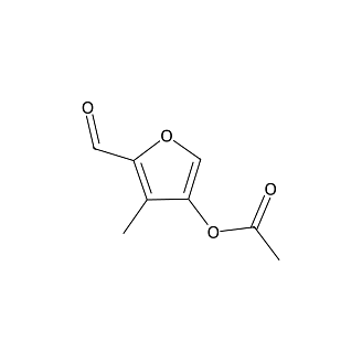 CC(=O)Oc1coc(C=O)c1C